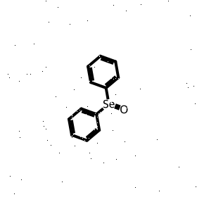 O=[Se](c1ccccc1)c1ccccc1